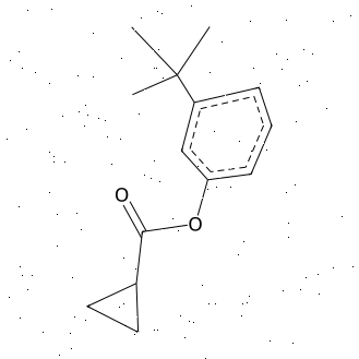 CC(C)(C)c1cccc(OC(=O)C2CC2)c1